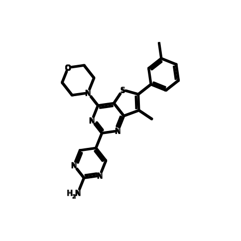 Cc1cccc(-c2sc3c(N4CCOCC4)nc(-c4cnc(N)nc4)nc3c2C)c1